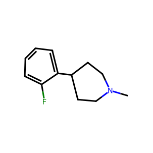 CN1CCC(c2ccccc2F)CC1